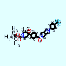 COC1(c2ccc(C(=O)N3CC4CN(c5ccc(C(F)(F)F)cc5)CC4C3)cc2)CCN(C(=O)OC(C)(C)C)CC1